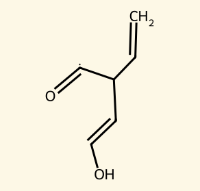 C=CC([C]=O)C=CO